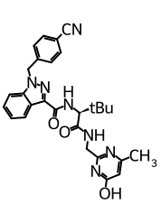 Cc1cc(O)nc(CNC(=O)[C@@H](NC(=O)c2nn(Cc3ccc(C#N)cc3)c3ccccc23)C(C)(C)C)n1